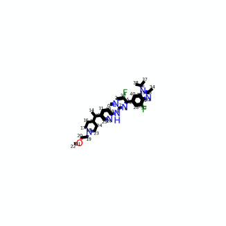 C=N/C=C(F)\C(=N/CNc1ccc(C(C)C2CCN(CCOC)CC2)cn1)c1cc(F)c2nc(C)n(C(C)C)c2c1